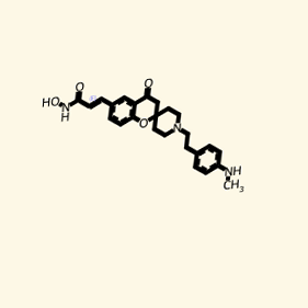 CNc1ccc(CCN2CCC3(CC2)CC(=O)c2cc(/C=C/C(=O)NO)ccc2O3)cc1